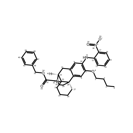 CCCCOc1cc2c(cc1Nc1ccccc1[N+](=O)[O-])C[C@H]1[C@H]3CCCC[C@@]23CCN1C(=O)OCc1ccccc1